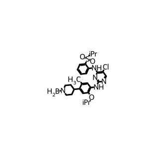 BN1CCC(c2cc(OC(C)C)c(Nc3ncc(Cl)c(Nc4ccccc4S(=O)(=O)C(C)C)n3)cc2C)CC1